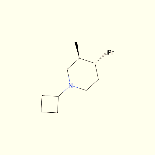 CC(C)[C@@H]1CCN(C2CCC2)C[C@H]1C